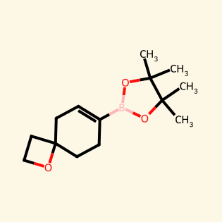 CC1(C)OB(C2=CCC3(CCO3)CC2)OC1(C)C